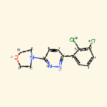 Clc1cccc(-c2ccc(N3CCOCC3)nn2)c1Cl